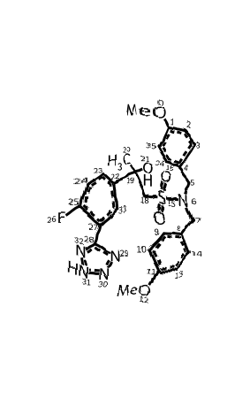 COc1ccc(CN(Cc2ccc(OC)cc2)S(=O)(=O)CC(C)(O)c2ccc(F)c(-c3nn[nH]n3)c2)cc1